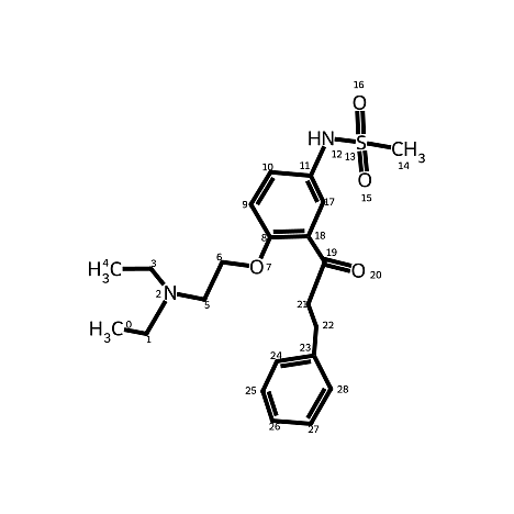 CCN(CC)CCOc1ccc(NS(C)(=O)=O)cc1C(=O)CCc1ccccc1